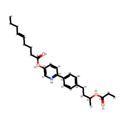 CCCC=CCCCC(=O)Oc1ccc(-c2ccc(CCC(C)OC(=O)CC)cc2)nc1